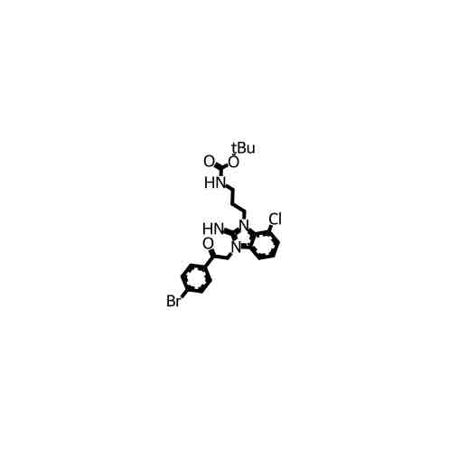 CC(C)(C)OC(=O)NCCCn1c(=N)n(CC(=O)c2ccc(Br)cc2)c2cccc(Cl)c21